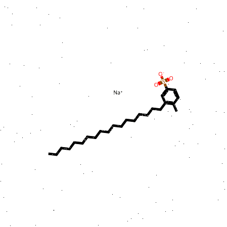 CCCCCCCCCCCCCCCCCCc1cc(S(=O)(=O)[O-])ccc1C.[Na+]